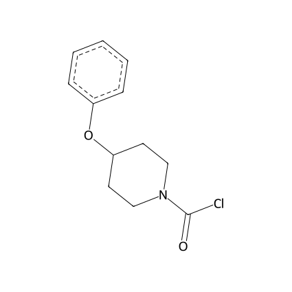 O=C(Cl)N1CCC(Oc2ccccc2)CC1